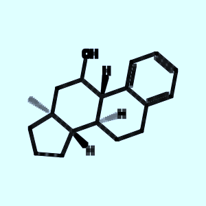 C[C@@]12CCC[C@H]1[C@@H]1CCc3ccccc3[C@H]1C(O)C2